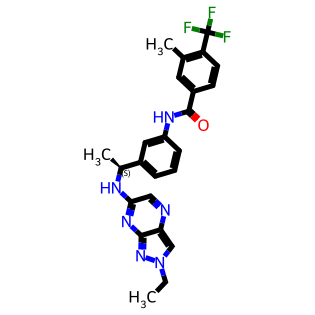 CCn1cc2ncc(N[C@@H](C)c3cccc(NC(=O)c4ccc(C(F)(F)F)c(C)c4)c3)nc2n1